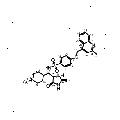 CC(=O)N1CCC(C(NS(=O)(=O)c2ccc(OCc3cc(C)nc4ccccc34)cc2)C2NC(=O)NC2=O)CC1